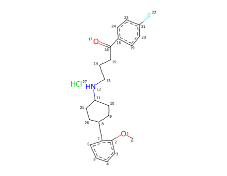 COc1ccccc1C1CCC(NCCCC(=O)c2ccc(F)cc2)CC1.Cl